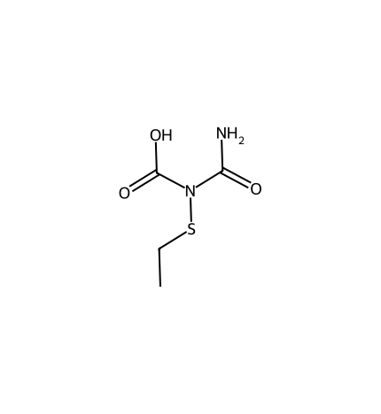 CCSN(C(N)=O)C(=O)O